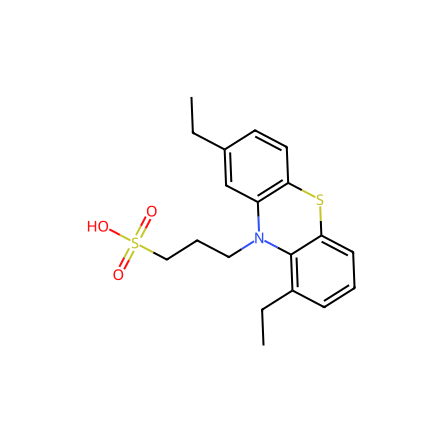 CCc1ccc2c(c1)N(CCCS(=O)(=O)O)c1c(CC)cccc1S2